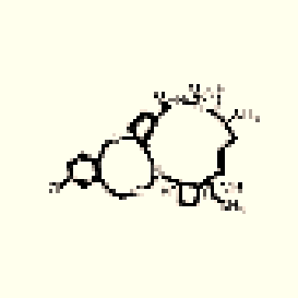 CC[C@]1(O)/C=C/C[C@H](C)[C@@H](C)S(=O)(=O)NC(=O)c2ccc3c(c2)N(CCCCc2cc(Cl)ccc2CO3)C[C@@H]2CC[C@H]21